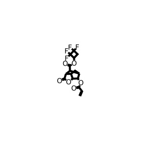 C=CC(=O)OC1C2CC3C1OC(=O)C3C2C(=O)OC1CC(F)(F)C1(F)F